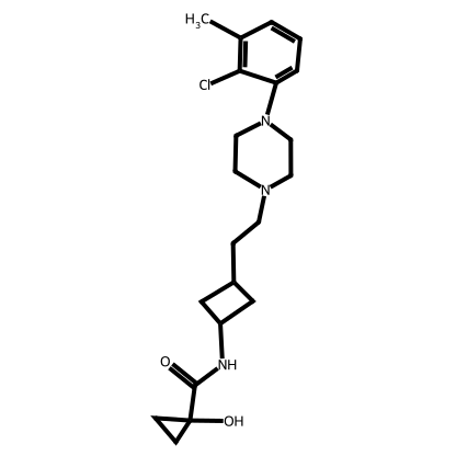 Cc1cccc(N2CCN(CCC3CC(NC(=O)C4(O)CC4)C3)CC2)c1Cl